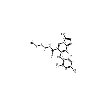 O=C(NOCCO)c1cn2c(Cl)cnc2c(F)c1Nc1ccc(Cl)cc1Cl